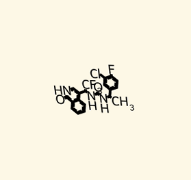 CC(NC(=O)NC(c1c[nH]c(=O)c2ccccc12)C(F)(F)F)c1ccc(F)c(Cl)c1